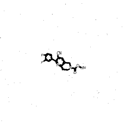 CC(C)(C)OC(=O)N1CCc2nc(-c3ccc(F)c(F)c3)c(C#N)cc2C1